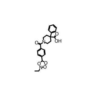 CCN1OOC(c2ccc(C(=O)N3CCC(C(=O)O)(c4ccccc4)CC3)cc2)O1